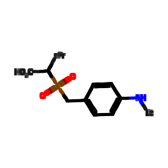 CCCC(C(=O)O)S(=O)(=O)Cc1ccc(NCC)cc1